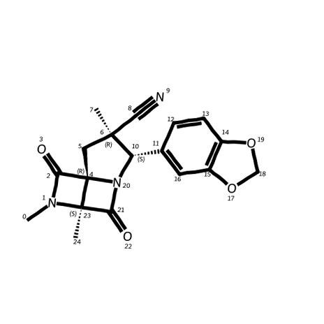 CN1C(=O)[C@]23C[C@@](C)(C#N)[C@H](c4ccc5c(c4)OCO5)N2C(=O)[C@@]13C